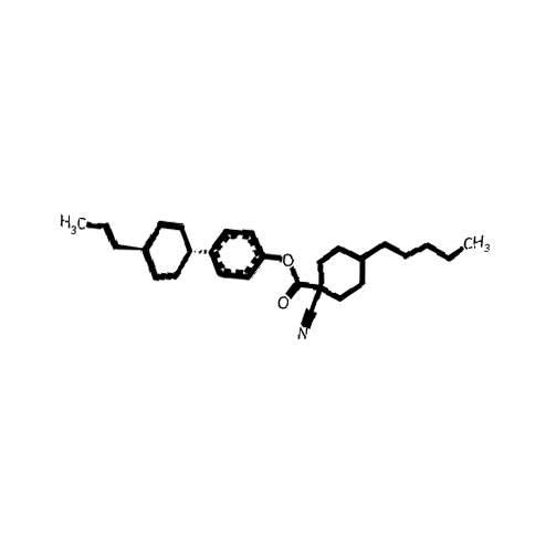 CCCCCC1CCC(C#N)(C(=O)Oc2ccc([C@H]3CC[C@H](CCC)CC3)cc2)CC1